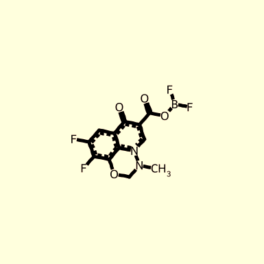 CN1COc2c(F)c(F)cc3c(=O)c(C(=O)OB(F)F)cn1c23